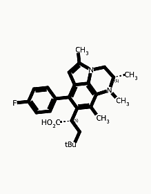 Cc1c([C@H](CC(C)(C)C)C(=O)O)c(-c2ccc(F)cc2)c2cc(C)n3c2c1N(C)[C@@H](C)C3